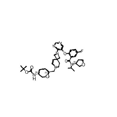 CC(C)N(C(=O)c1cc(F)ccc1Oc1cncnc1N1CC2(CCN(C[C@@H]3CC[C@@H](NC(=O)OC(C)(C)C)CO3)CC2)C1)[C@H]1CCOC1